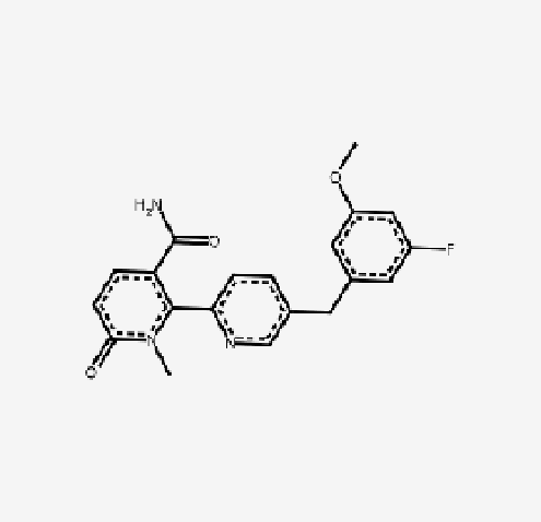 COc1cc(F)cc(Cc2ccc(-c3c(C(N)=O)ccc(=O)n3C)nc2)c1